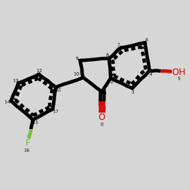 O=C1c2cc(O)ccc2CC1c1cccc(F)c1